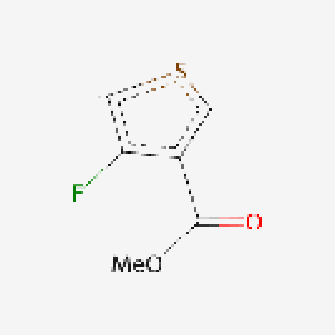 COC(=O)c1cs[c]c1F